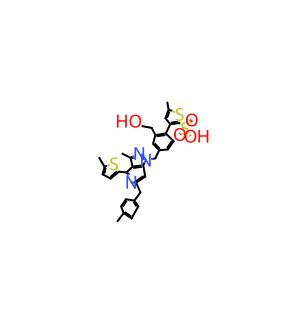 Cc1ccc(Cc2cc3c(c(C)nn3Cc3ccc(-c4cc(C)sc4S(=O)(=O)O)c(CCO)c3)c(-c3ccc(C)s3)n2)cc1